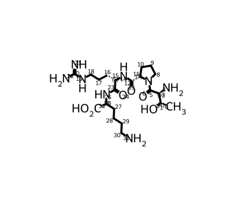 C[C@@H](O)[C@H](N)C(=O)N1CCC[C@H]1C(=O)N[C@@H](CCCNC(=N)N)C(=O)N[C@@H](CCCCN)C(=O)O